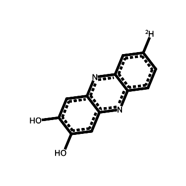 [2H]c1ccc2nc3cc(O)c(O)cc3nc2c1